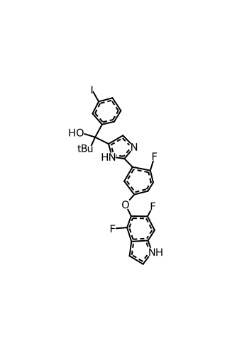 CC(C)(C)C(O)(c1cccc(I)c1)c1cnc(-c2cc(Oc3c(F)cc4[nH]ccc4c3F)ccc2F)[nH]1